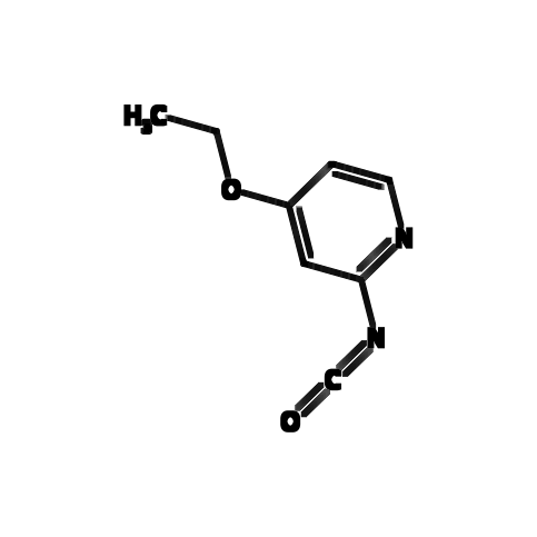 CCOc1ccnc(N=C=O)c1